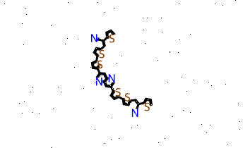 N#C/C(=C\c1ccc(-c2ccc(-c3cnc4cc(-c5ccc(-c6ccc(/C=C(\C#N)c7cccs7)s6)s5)cnc4c3)s2)s1)c1cccs1